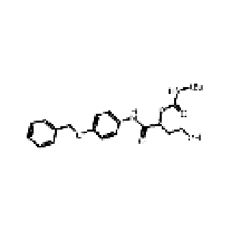 CC(C)(C)NC(=O)OC(CCO)C(=O)Nc1ccc(OCc2ccccc2)cc1